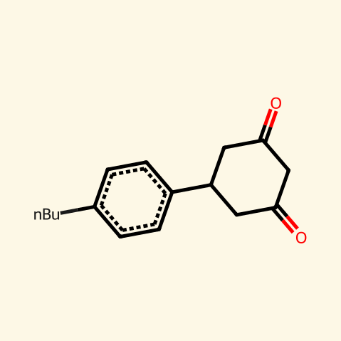 CCCCc1ccc(C2CC(=O)CC(=O)C2)cc1